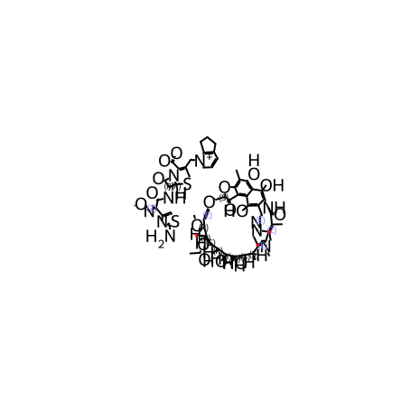 CO/N=C(\C(=O)N[C@@H]1C(=O)N2C(C(=O)[O-])=C(C[n+]3cccc4c3CCC4)CS[C@H]12)c1csc(N)n1.CO[C@H]1/C=C/O[C@@]2(C)Oc3c(C)c(O)c4c(O)c(c(/C=N/N5CCN(C)CC5)c(O)c4c3C2=O)NC(=O)/C(C)=C\C=C\[C@H](C)[C@H](O)[C@@H](C)[C@@H](O)[C@@H](C)[C@H](OC(C)=O)[C@@H]1C